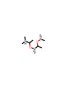 CC(O[SiH](C)C(C)O[SiH](C)C)[SiH](C)C